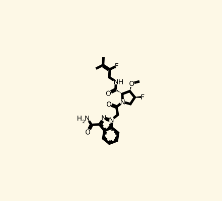 CO[C@H]1[C@@H](C(=O)NCC(F)=C(C)C)N(C(=O)Cn2nc(C(N)=O)c3ccccc32)C[C@@H]1F